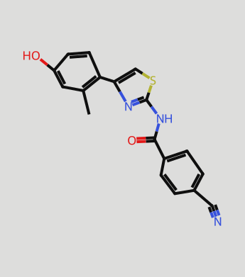 Cc1cc(O)ccc1-c1csc(NC(=O)c2ccc(C#N)cc2)n1